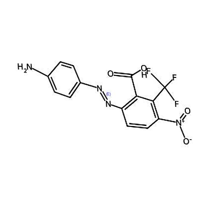 Nc1ccc(/N=N/c2ccc([N+](=O)[O-])c(C(F)(F)F)c2C(=O)O)cc1